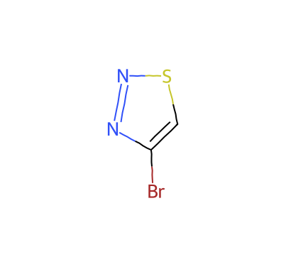 Brc1csnn1